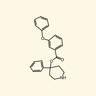 O=C(OC1(c2ccccc2)CCNCC1)c1cccc(Oc2ccccc2)c1